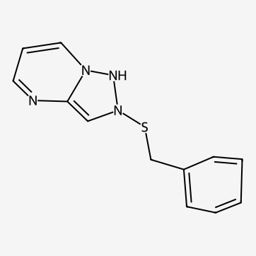 C1=CN2NN(SCc3ccccc3)C=C2N=C1